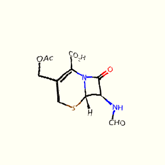 CC(=O)OCC1=C(C(=O)O)N2C(=O)[C@@H](NC=O)[C@@H]2SC1